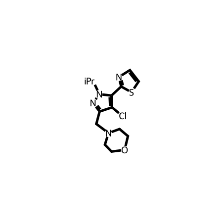 CC(C)n1nc(CN2CCOCC2)c(Cl)c1-c1nccs1